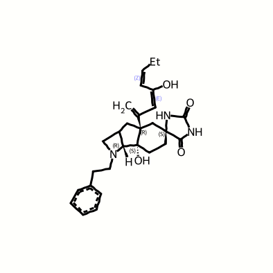 C=C(/C=C(O)\C=C/CC)[C@]12CC3CN(CCc4ccccc4)[C@H]3[C@]1(O)CC[C@@]1(C2)NC(=O)NC1=O